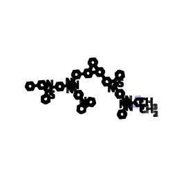 C=C/C=C(\C=C/C)c1nc(-c2ccccc2)nc(-c2ccc(-c3nc4ccc(-c5ccc6c7ccccc7c7cc(-c8cccc(-c9nc(-c%10ccc(-c%11nc%12ccc(-c%13ccccc%13)cc%12c%12c%11sc%11ccccc%11%12)cc%10)nc(-c%10ccc(-n%11c%12c(c%13ccccc%13%11)CCC=C%12)cc%10)n9)c8)ccc7c6c5)cc4c4c3sc3ccccc34)cc2)n1